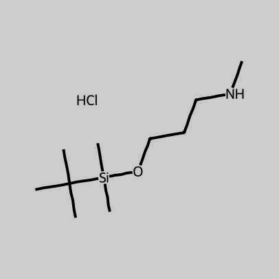 CNCCCO[Si](C)(C)C(C)(C)C.Cl